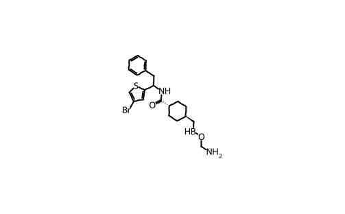 NCOBC[C@H]1CC[C@H](C(=O)NC(Cc2ccccc2)c2cc(Br)cs2)CC1